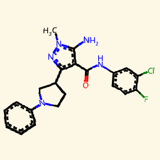 Cn1nc(C2CCN(c3ccccc3)C2)c(C(=O)Nc2ccc(F)c(Cl)c2)c1N